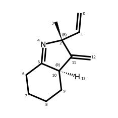 C=C[C@@]1(C)N=C2CCCC[C@@H]2C1=C